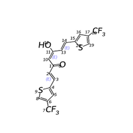 O=C(/C=C/c1cc(C(F)(F)F)cs1)/C=C(O)\C=C\c1cc(C(F)(F)F)cs1